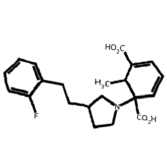 CC1C(C(=O)O)=CC=CC1(C(=O)O)N1CCC(CCc2ccccc2F)C1